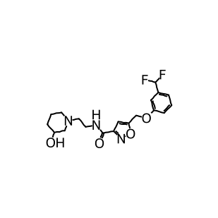 O=C(NCCN1CCCC(O)C1)c1cc(COc2cccc(C(F)F)c2)on1